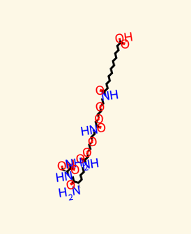 NC[C@@H](CCCCNC(=O)COCCOCCNC(=O)COCCOCCNC(=O)CCCCCCCCCCCCC(=O)O)C(=O)CN[C@@H](CO)C(N)=O